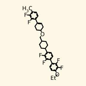 CCOc1ccc(-c2ccc(C3CCC(COC4CC=C(c5ccc(C)c(F)c5F)CC4)CC3)c(F)c2F)c(F)c1F